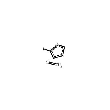 C=O.Ic1cccs1